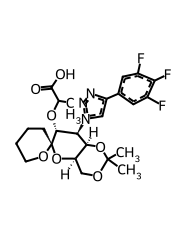 CC(O[C@@H]1[C@@H](n2cc(-c3cc(F)c(F)c(F)c3)nn2)[C@H]2OC(C)(C)OC[C@H]2O[C@@]12CCCCO2)C(=O)O